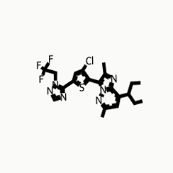 CCC(CC)c1cc(C)nn2c(-c3sc(-c4ncnn4CC(F)(F)F)cc3Cl)c(C)nc12